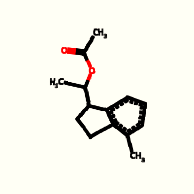 CC(=O)OC(C)C1CCc2c(C)cccc21